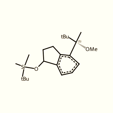 CO[C@](C)(c1cccc2c1CCC2O[Si](C)(C)C(C)(C)C)C(C)(C)C